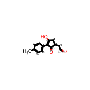 Cc1ccc(C2=C(O)CC(CC=O)C2=O)cc1